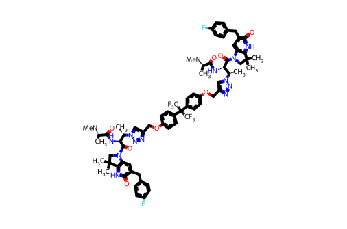 CN[C@@H](C)C(=O)N[C@H](C(=O)N1CC(C)(C)c2[nH]c(=O)c(Cc3ccc(F)cc3)cc21)[C@H](C)n1cc(COc2ccc(C(c3ccc(OCc4cn([C@@H](C)[C@H](NC(=O)[C@H](C)NC)C(=O)N5CC(C)(C)c6[nH]c(=O)c(Cc7ccc(F)cc7)cc65)nn4)cc3)(C(F)(F)F)C(F)(F)F)cc2)nn1